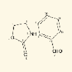 O=C1NCCO1.O=Cc1ccccc1